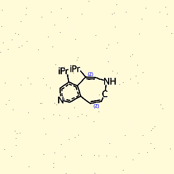 CC(C)/C1=C/NC/C=C\c2cncc(C(C)C)c21